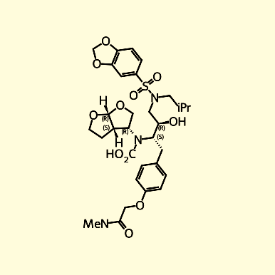 CNC(=O)COc1ccc(C[C@@H]([C@H](O)CN(CC(C)C)S(=O)(=O)c2ccc3c(c2)OCO3)N(C(=O)O)[C@H]2CO[C@H]3OCC[C@H]32)cc1